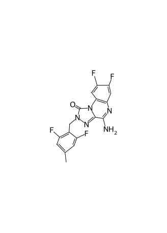 Cc1cc(F)c(Cn2nc3c(N)nc4cc(F)c(F)cc4n3c2=O)c(F)c1